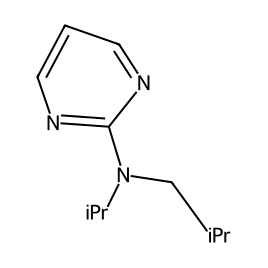 CC(C)CN(c1ncccn1)C(C)C